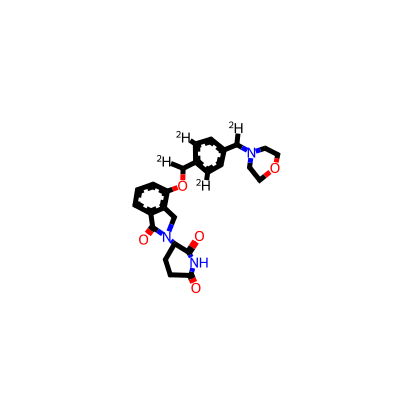 [2H]c1cc(C([2H])N2CCOCC2)cc([2H])c1C([2H])Oc1cccc2c1CN(C1CCC(=O)NC1=O)C2=O